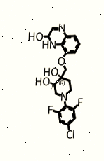 OC1C=Nc2cccc(OC[C@]3(O)CCN(c4c(F)cc(Cl)cc4F)C[C@H]3O)c2N1